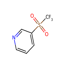 O=S(=O)(c1cccnc1)C(F)(F)F